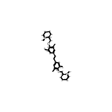 Cc1cc(CCc2cc(C)c(OCC3CCCCN3C)c(C)c2)cc(C)c1OCC1CCCCN1C